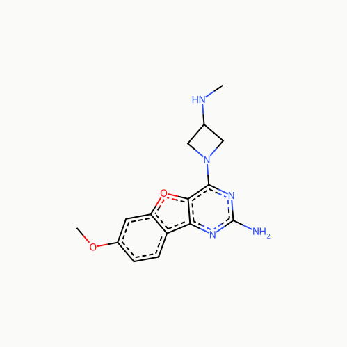 CNC1CN(c2nc(N)nc3c2oc2cc(OC)ccc23)C1